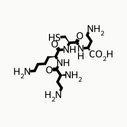 NCCCC[C@H](NC(=O)[C@@H](N)CCN)C(=O)N[C@@H](CS)C(=O)N[C@@H](CCN)C(=O)O